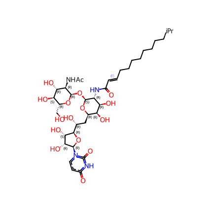 CC(=O)N[C@H]1[C@@H](O[C@@H]2O[C@H](C[C@@H](O)[C@H]3O[C@@H](n4ccc(=O)[nH]c4=O)[C@H](O)[C@@H]3O)[C@H](O)[C@H](O)[C@H]2NC(=O)/C=C/CCCCCCCCC(C)C)O[C@H](CO)[C@@H](O)[C@@H]1O